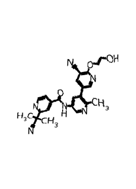 Cc1ncc(NC(=O)c2ccnc(C(C)(C)C#N)c2)cc1-c1cnc(OCCO)c(C#N)c1